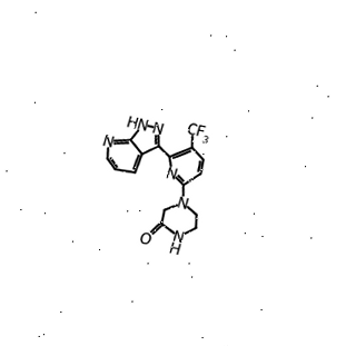 O=C1CN(c2ccc(C(F)(F)F)c(-c3n[nH]c4ncccc34)n2)CCN1